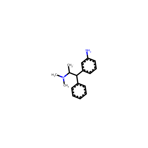 [CH2]C(C(c1ccccc1)c1cccc(N)c1)N(C)C